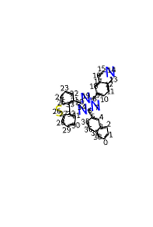 c1ccc2cc(-c3nc(-c4ccc5cnccc5c4)nc(-c4cccc5sc6ccccc6c45)n3)ccc2c1